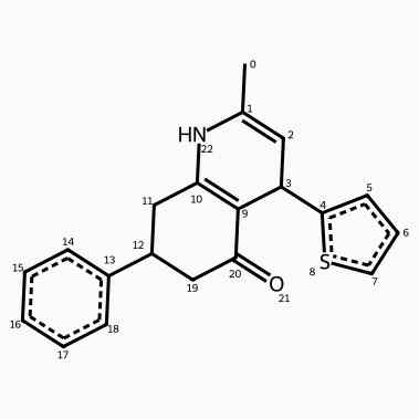 CC1=CC(c2cccs2)C2=C(CC(c3ccccc3)CC2=O)N1